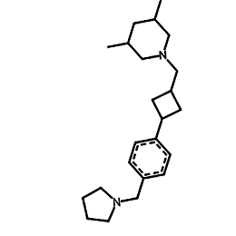 CC1CC(C)CN(CC2CC(c3ccc(CN4CCCC4)cc3)C2)C1